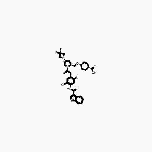 O=C(Nc1cc(Cl)c(CC(=O)N2C[C@@H](N3CC(F)(F)C3)C[C@H]2CO[C@H]2CC[C@H](C(=O)O)CC2)cc1Cl)c1csc2ccccc12